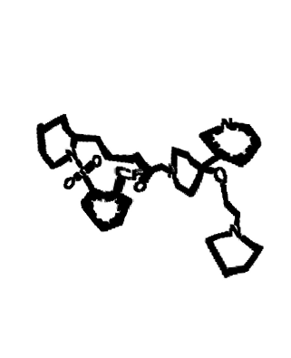 O=C(CCCC1CCCCN1S(=O)(=O)c1ccccc1C(F)(F)F)N1CCC(OCCN2CCCC2)(c2cccnc2)CC1